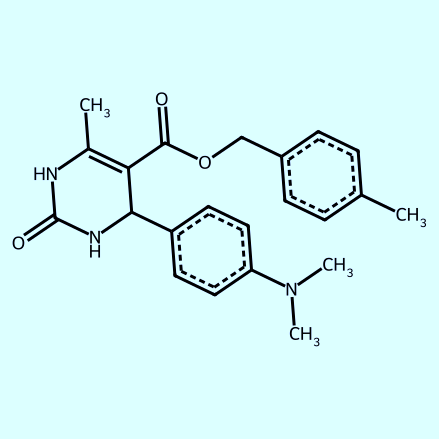 CC1=C(C(=O)OCc2ccc(C)cc2)C(c2ccc(N(C)C)cc2)NC(=O)N1